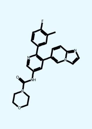 Cc1cc(-c2ncc(NC(=O)N3CCOCC3)cc2-c2ccc3nccn3c2)ccc1F